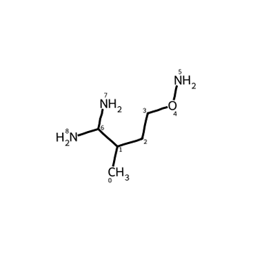 CC(CCON)C(N)N